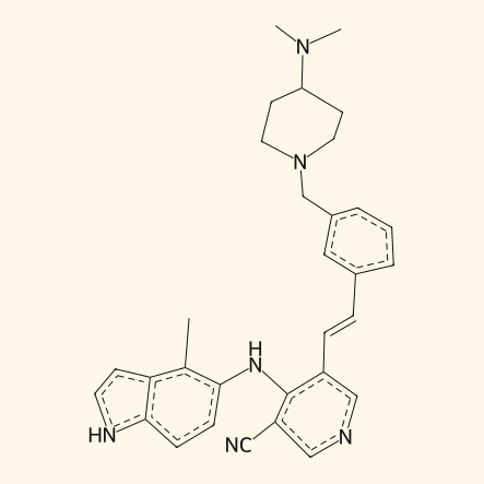 Cc1c(Nc2c(C#N)cncc2C=Cc2cccc(CN3CCC(N(C)C)CC3)c2)ccc2[nH]ccc12